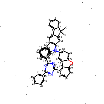 CC1(C)c2ccccc2-c2cc3c4ccccc4n(-c4ccc5oc6cccc(-c7nc(-c8c#cccc8)nc(-c8ccccc8)n7)c6c5c4)c3cc21